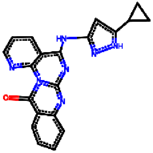 O=c1c2ccccc2nc2nc(Nc3cc(C4CC4)[nH]n3)c3cccnc3n12